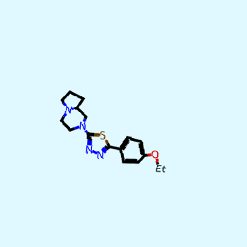 CCOc1ccc(-c2nnc(N3CCN4CCCC4C3)s2)cc1